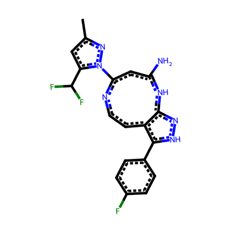 Cc1cc(C(F)F)n(-c2cc(N)[nH]c3n[nH]c(-c4ccc(F)cc4)c3ccn2)n1